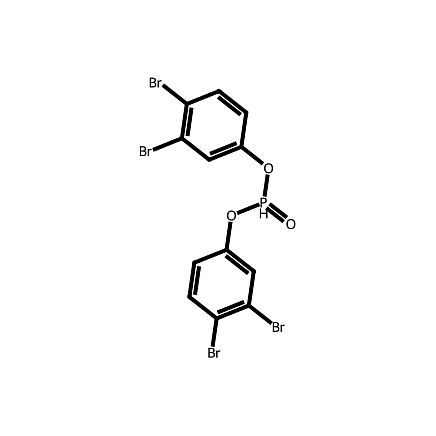 O=[PH](Oc1ccc(Br)c(Br)c1)Oc1ccc(Br)c(Br)c1